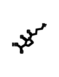 O=C(O)C1CCN(C(=O)CCCBr)C1=O